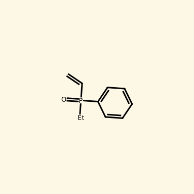 C=CP(=O)(CC)c1ccccc1